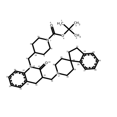 CC(C)(C)OC(=O)N1CCC(CN2C(=O)C(CN3CCC4(CCc5ccccc54)CC3)Cc3ccccc32)CC1